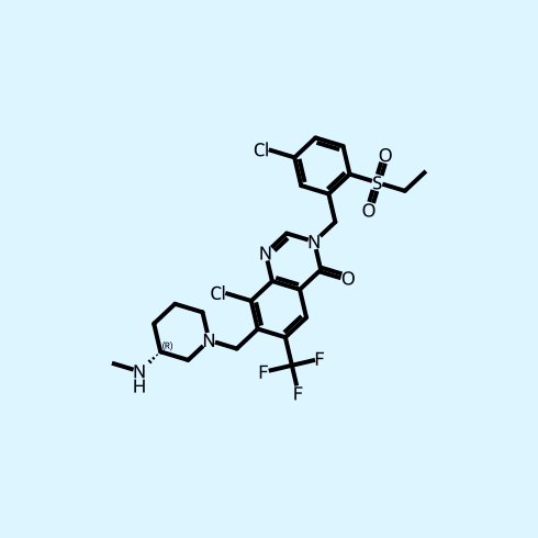 CCS(=O)(=O)c1ccc(Cl)cc1Cn1cnc2c(Cl)c(CN3CCC[C@@H](NC)C3)c(C(F)(F)F)cc2c1=O